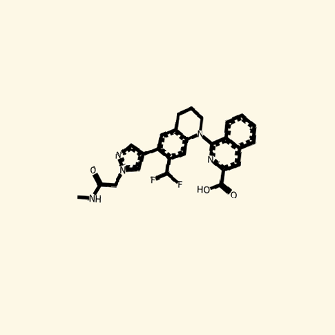 CNC(=O)Cn1cc(-c2cc3c(cc2C(F)F)N(c2nc(C(=O)O)cc4ccccc24)CCC3)cn1